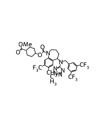 COC(=O)C1CCC(OC(=O)N2CCCC(N(Cc3cc(C(F)(F)F)cc(C(F)(F)F)c3)c3nnn(C)n3)c3cc(C)c(C(F)(F)F)cc32)CC1